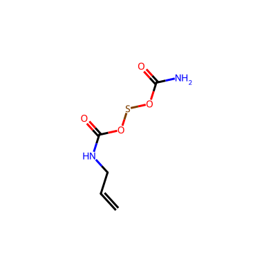 C=CCNC(=O)OSOC(N)=O